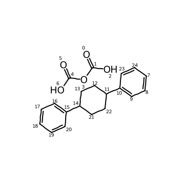 O=C(O)OC(=O)O.c1ccc(C2CCC(c3ccccc3)CC2)cc1